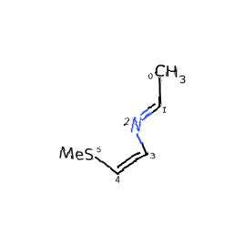 C/C=N/C=C\SC